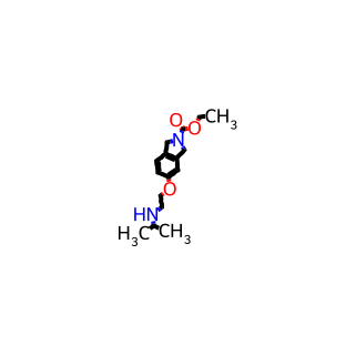 CCOC(=O)N1Cc2ccc(OCCNC(C)C)cc2C1